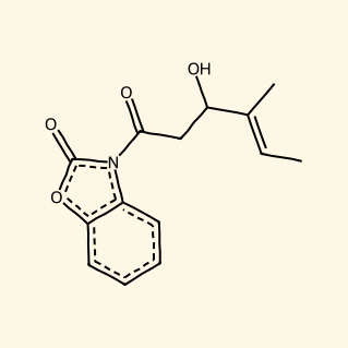 CC=C(C)C(O)CC(=O)n1c(=O)oc2ccccc21